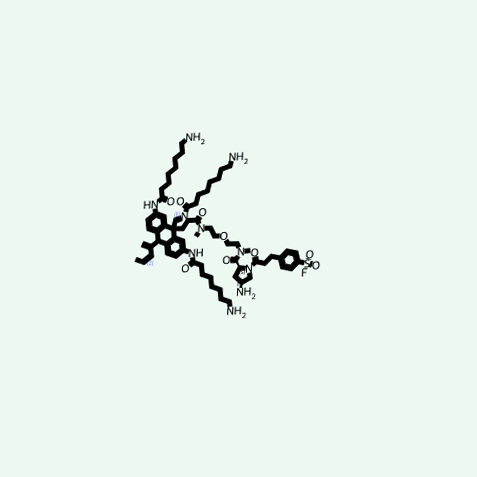 C=C(/C=C\C)C1c2ccc(NC(=O)CCCCCCCN)cc2C(/C=N/C(=O)CCCCCCCN)(CCC(=O)N(C)CCOCCN(C)C(=O)[C@@H]2C[C@H](N)CN2C(=O)CCc2ccc(S(=O)(=O)F)cc2)c2cc(NC(=O)CCCCCCCN)ccc21